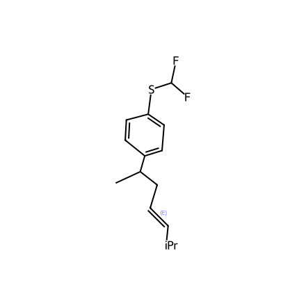 CC(C)/C=C/CC(C)c1ccc(SC(F)F)cc1